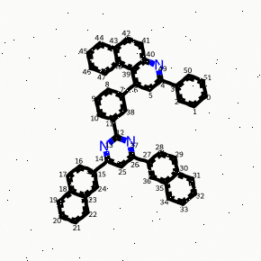 c1ccc(-c2cc(-c3cccc(-c4nc(-c5ccc6ccccc6c5)cc(-c5ccc6ccccc6c5)n4)c3)c3c(ccc4ccccc43)n2)cc1